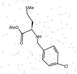 COC(=O)[C@@H](CCSC)NCc1ccc(Cl)cc1